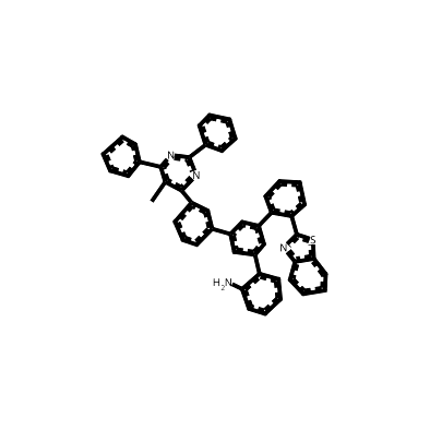 Cc1c(-c2ccccc2)nc(-c2ccccc2)nc1-c1cccc(-c2cc(-c3ccccc3N)cc(-c3ccccc3-c3nc4ccccc4s3)c2)c1